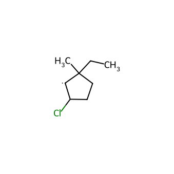 CCC1(C)[CH]C(Cl)CC1